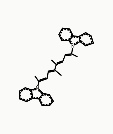 CC(=C\C=C(/C)n1c2ccccc2c2ccccc21)/C(C)=C/C=C(\C)n1c2ccccc2c2ccccc21